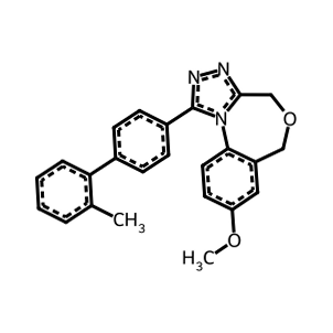 COc1ccc2c(c1)COCc1nnc(-c3ccc(-c4ccccc4C)cc3)n1-2